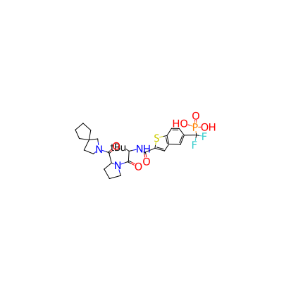 CC(C)(C)C(NC(=O)c1cc2cc(C(F)(F)P(=O)(O)O)ccc2s1)C(=O)N1CCCC1C(=O)N1CCC2(CCCC2)C1